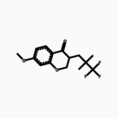 COc1ccc2c(c1)OCC(CC(C)(C)C(F)(F)F)C2=O